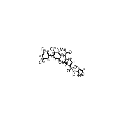 CNC(=O)N(c1ccc(S(=O)(=O)Nc2ccon2)cn1)c1cc(Cl)c(-c2cc(F)cc(Cl)c2)cc1OC